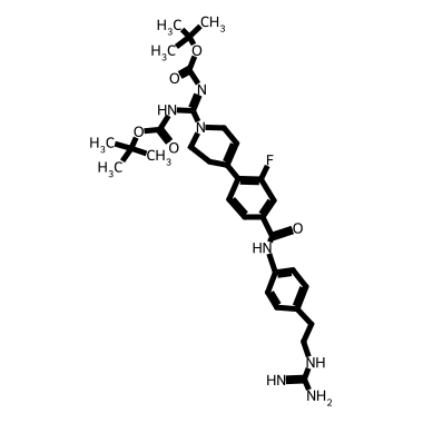 CC(C)(C)OC(=O)/N=C(\NC(=O)OC(C)(C)C)N1CC=C(c2ccc(C(=O)Nc3ccc(CCNC(=N)N)cc3)cc2F)CC1